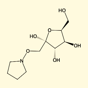 OC[C@@H]1O[C@](O)(CON2CCCC2)[C@@H](O)[C@@H]1O